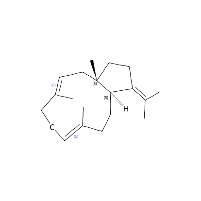 CC(C)=C1CC[C@@]2(C)C/C=C(\C)CC/C=C(\C)CC[C@H]12